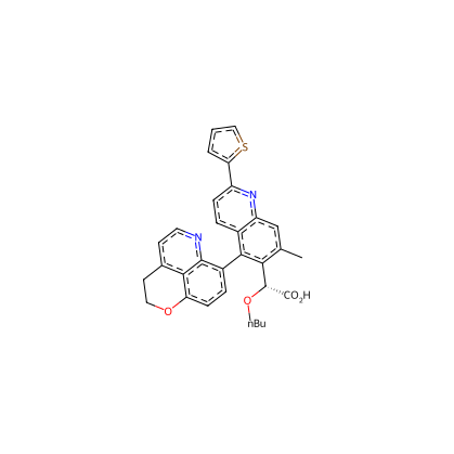 CCCCO[C@@H](C(=O)O)c1c(C)cc2nc(-c3cccs3)ccc2c1-c1ccc2c3c(ccnc13)CCO2